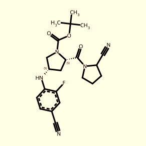 CC(C)(C)OC(=O)N1C[C@@H](Nc2ccc(C#N)cc2F)C[C@H]1C(=O)N1CCCC1C#N